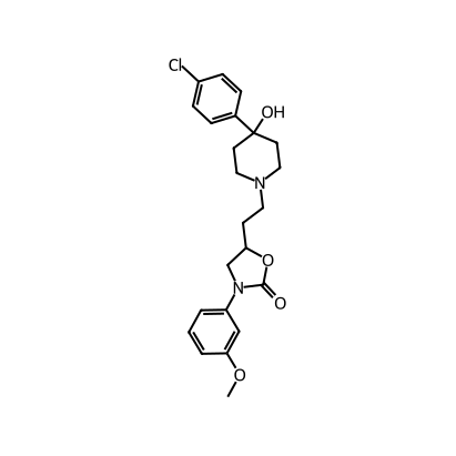 COc1cccc(N2CC(CCN3CCC(O)(c4ccc(Cl)cc4)CC3)OC2=O)c1